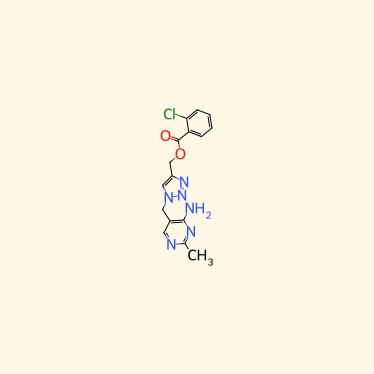 Cc1ncc(Cn2cc(COC(=O)c3ccccc3Cl)nn2)c(N)n1